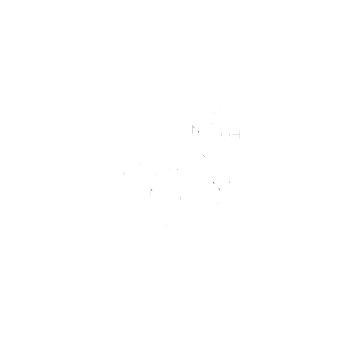 CCC(C[C@@H](COC(=O)N(Cc1cccs1)Cc1cccs1)N(C(=O)O)c1ccccc1)[N+](=O)[O-]